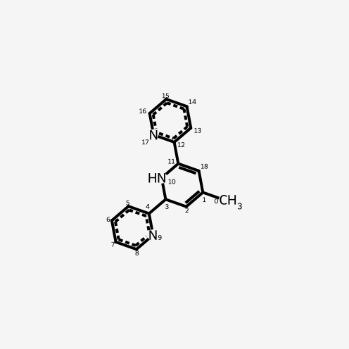 CC1=CC(c2ccccn2)NC(c2ccccn2)=C1